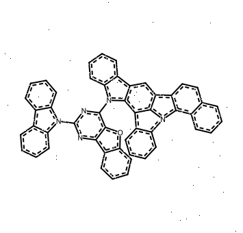 c1ccc2c(c1)ccc1c3cc4c5ccccc5n(-c5nc(-n6c7ccccc7c7ccccc76)nc6c5oc5ccccc56)c4c4c5ccccc5n(c21)c34